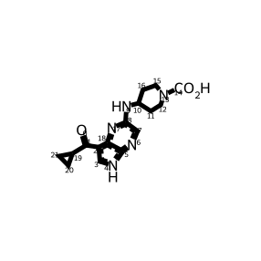 O=C(c1c[nH]c2ncc(NC3CCN(C(=O)O)CC3)nc12)C1CC1